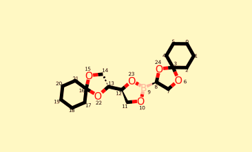 C1CCC2(CC1)OC[C@@H](B1OC[C@@H]([C@H]3COC4(CCCCC4)O3)O1)O2